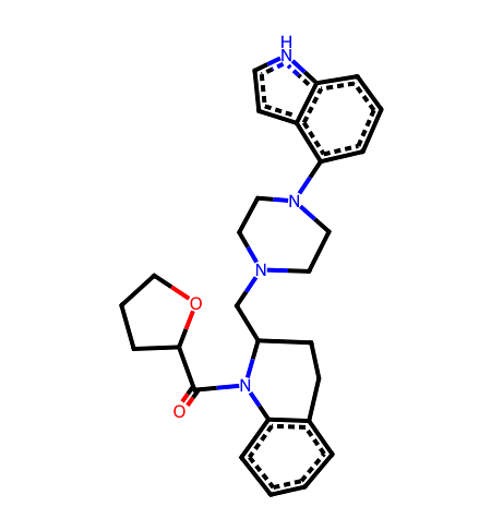 O=C(C1CCCO1)N1c2ccccc2CCC1CN1CCN(c2cccc3[nH]ccc23)CC1